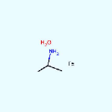 CC(C)N.O.[Fe]